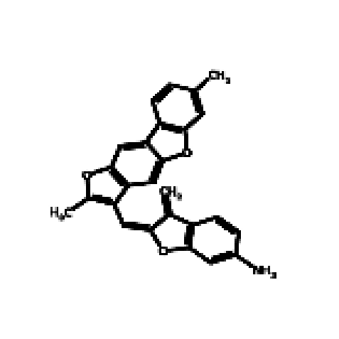 C=c1/c(=C\c2c(C)oc3cc4c(cc23)oc2cc(C)ccc24)oc2cc(N)ccc12